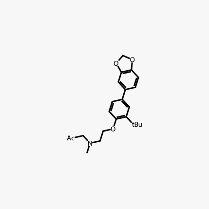 CC(=O)CN(C)CCOc1ccc(-c2ccc3c(c2)OCO3)cc1C(C)(C)C